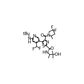 CC1CC(F)(F)CN1C(=O)c1nc(C(=O)NC(C)C(C)(C)O)sc1-c1cnc(NC(C)(C)C)cc1C(F)F